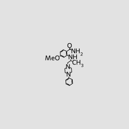 COc1ccc(C(N)=O)c(NC(C)CN2CCN(c3ccccc3)CC2)c1